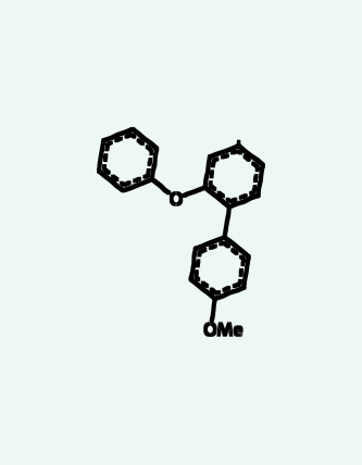 COc1ccc(-c2cc[c]cc2Oc2ccccc2)cc1